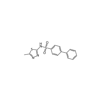 Cc1nnc(NS(=O)(=O)c2ccc(-c3ccccc3)cc2)s1